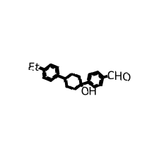 CCc1ccc(C2CCC(O)(c3ccc(C=O)cc3)CC2)cc1